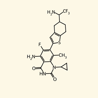 Cc1c(-c2cc3c(s2)CCC(C(N)C(F)(F)F)C3)c(F)c(N)c2c(=O)[nH]c(=O)n(C3CC3)c12